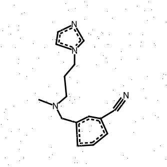 CN(CCCn1ccnc1)Cc1cccc(C#N)c1